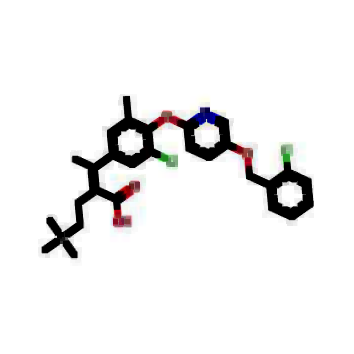 CC(=C(CC[Si](C)(C)C)C(=O)O)c1cc(C)c(Oc2ccc(OCc3ccccc3Cl)cn2)c(Cl)c1